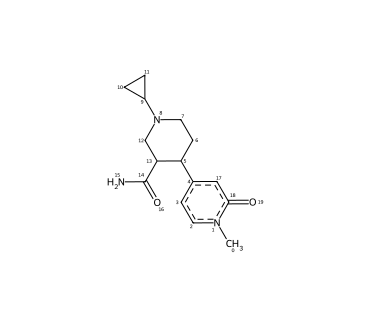 Cn1ccc(C2CCN(C3CC3)CC2C(N)=O)cc1=O